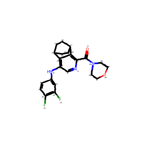 O=C(c1ncc(Nc2ccc(F)c(F)c2)c2c1C1CCC2CC1)N1CCOCC1